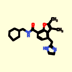 Cc1oc2c(C(=O)NCC3CCCCC3)ccc(Cc3ncc[nH]3)c2c1C